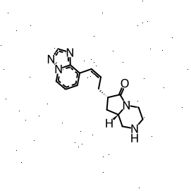 O=C1[C@@H](C/C=C\c2cccn3ncnc23)C[C@H]2CNCCN12